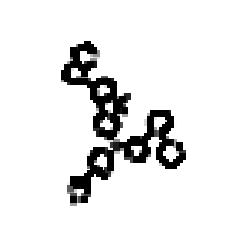 CC1(C)c2ccc(-c3cccc4ccccc34)cc2-c2ccc(N(c3ccc(C4CC5CCC4C5)cc3)c3cccc(-c4ccccc4C4CCCCC4)c3)cc21